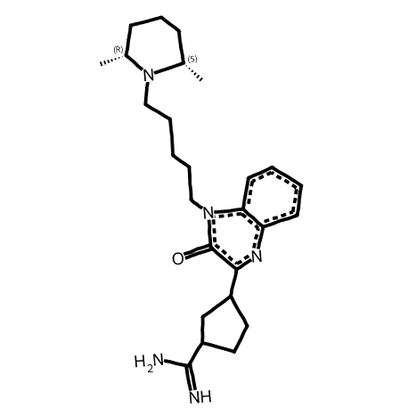 C[C@@H]1CCC[C@H](C)N1CCCCCn1c(=O)c(C2CCC(C(=N)N)C2)nc2ccccc21